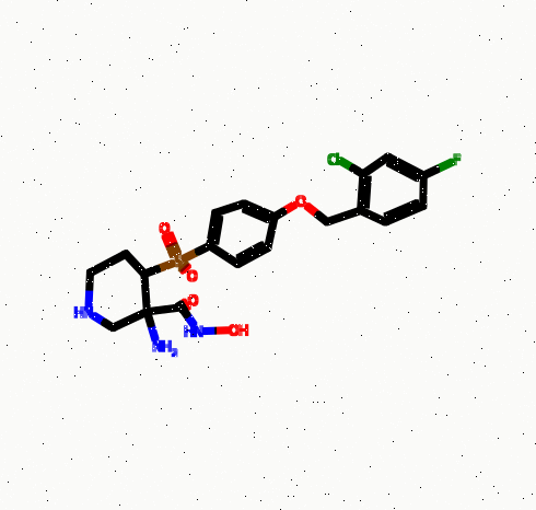 NC1(C(=O)NO)CNCCC1S(=O)(=O)c1ccc(OCc2ccc(F)cc2Cl)cc1